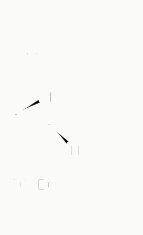 CCOC(=O)C1[C@H]2c3ccccc3OC[C@@H]12